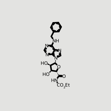 CCOC(=O)NC(=O)[C@H]1O[C@@H](n2cnc3c(NCc4ccccc4)ncnc32)[C@H](O)[C@@H]1O